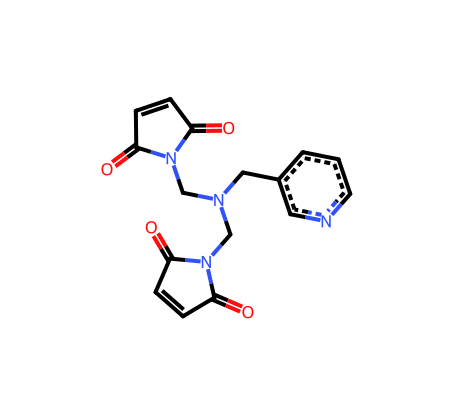 O=C1C=CC(=O)N1CN(Cc1cccnc1)CN1C(=O)C=CC1=O